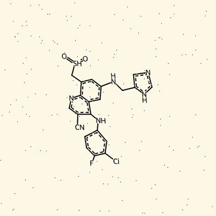 N#Cc1cnc2c(C[SH](=O)=O)cc(NCc3cnc[nH]3)cc2c1Nc1ccc(F)c(Cl)c1